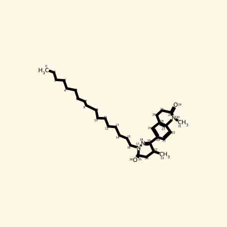 CCCCCCCCCCCCCCCCCN1N=C(c2ccc3c(c2)CCC(=O)N3C)C(C)CC1=O